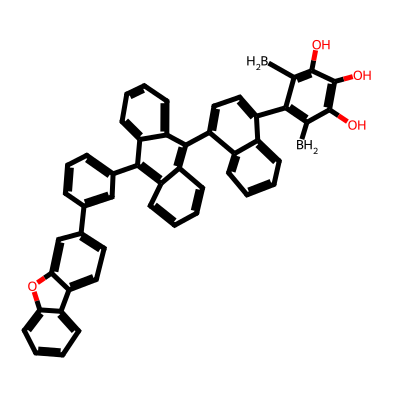 Bc1c(O)c(O)c(O)c(B)c1-c1ccc(-c2c3ccccc3c(-c3cccc(-c4ccc5c(c4)oc4ccccc45)c3)c3ccccc23)c2ccccc12